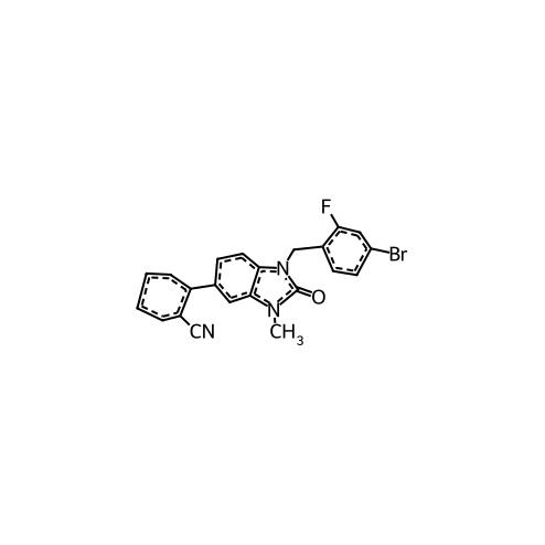 Cn1c(=O)n(Cc2ccc(Br)cc2F)c2ccc(-c3ccccc3C#N)cc21